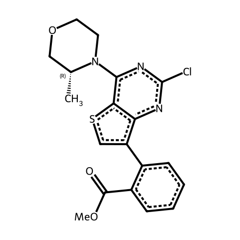 COC(=O)c1ccccc1-c1csc2c(N3CCOC[C@H]3C)nc(Cl)nc12